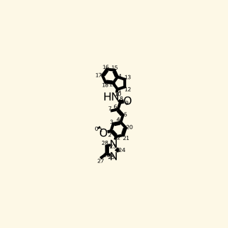 COc1cc(/C=C(\C)C(=O)NC2CCc3ccccc32)ccc1-n1cnc(C)c1